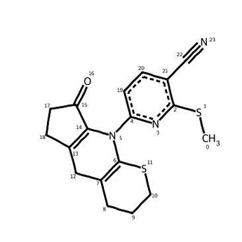 CSc1nc(N2C3=C(CCCS3)CC3=C2C(=O)CC3)ccc1C#N